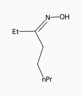 CCCCC/C(CC)=N\O